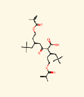 C=C(C)C(=O)OCCC(CC(=O)C(C(=O)O)C(CCOC(=O)C(=C)C)CC(C)(C)C)CC(C)(C)C